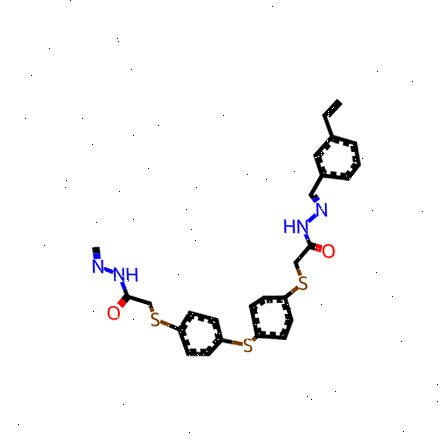 C=Cc1cccc(/C=N/NC(=O)CSc2ccc(Sc3ccc(SCC(=O)NN=C)cc3)cc2)c1